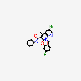 CC1=C(C(=O)NC2CCCCC2)C(O)N(Cc2ccc(F)cc2)c2ncc(Br)cc21